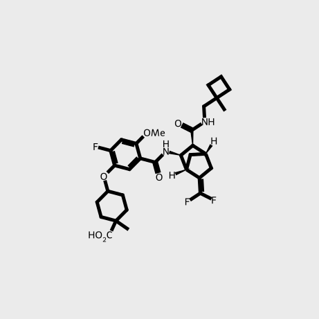 COc1cc(F)c(OC2CCC(C)(C(=O)O)CC2)cc1C(=O)N[C@H]1[C@@H](C(=O)NCC2(C)CCC2)[C@@H]2CC(=C(F)F)[C@H]1C2